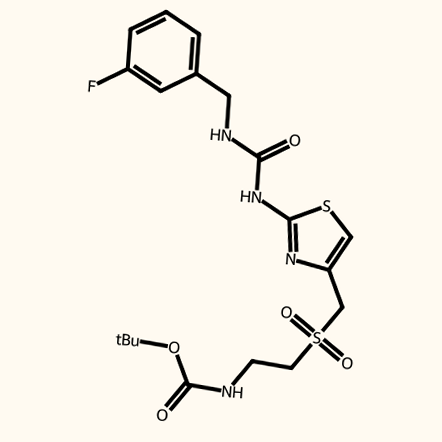 CC(C)(C)OC(=O)NCCS(=O)(=O)Cc1csc(NC(=O)NCc2cccc(F)c2)n1